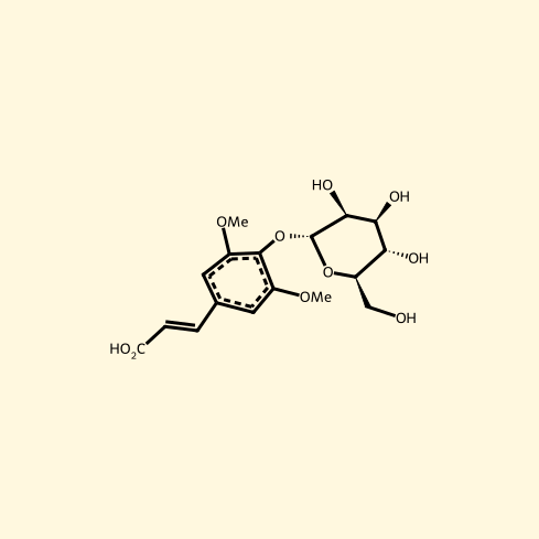 COc1cc(/C=C/C(=O)O)cc(OC)c1O[C@H]1O[C@H](CO)[C@@H](O)[C@H](O)[C@@H]1O